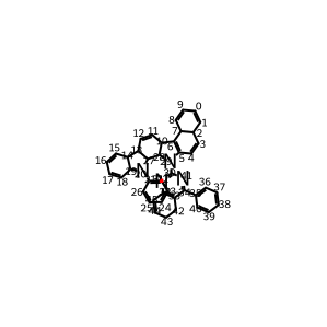 C1=CC2C=CC3=C(C2C=C1)C1C=CC2C4C=CC=CC4N(c4ccccc4)C2C1N3c1nc2c(c(-c3ccccc3)n1)CCC=C2